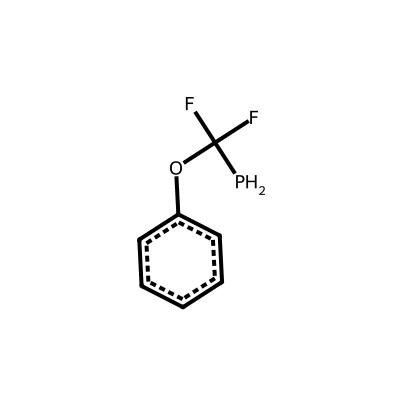 FC(F)(P)Oc1ccccc1